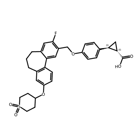 O=C(O)[C@H]1C[C@@H]1c1ccc(OCc2cc3c(cc2F)CCCc2cc(OC4CCS(=O)(=O)CC4)ccc2-3)cc1